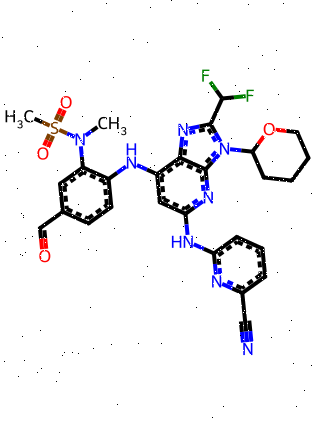 CN(c1cc(C=O)ccc1Nc1cc(Nc2cccc(C#N)n2)nc2c1nc(C(F)F)n2C1CCCCO1)S(C)(=O)=O